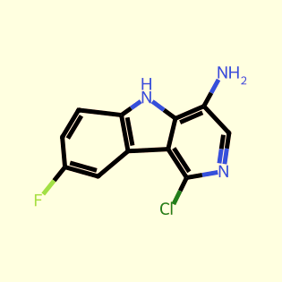 Nc1cnc(Cl)c2c1[nH]c1ccc(F)cc12